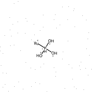 O[PH](O)(O)[Ru]